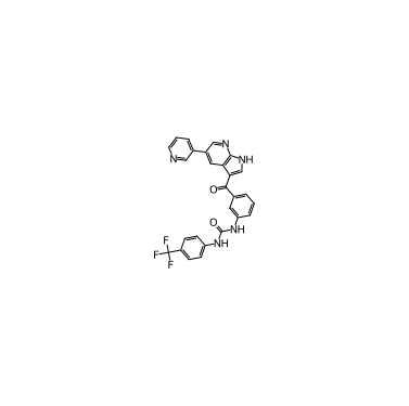 O=C(Nc1ccc(C(F)(F)F)cc1)Nc1cccc(C(=O)c2c[nH]c3ncc(-c4cccnc4)cc23)c1